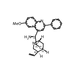 C=C[C@H]1CN2CC[C@H]1C[C@H]2[C@@H](N)c1cc(-c2ccccc2)nc2ccc(OC)cc12